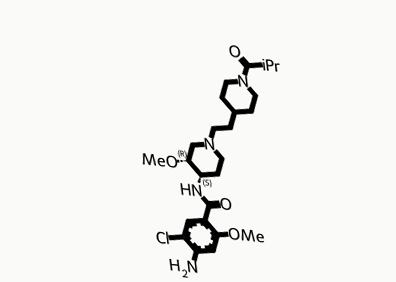 COc1cc(N)c(Cl)cc1C(=O)N[C@H]1CCN(CCC2CCN(C(=O)C(C)C)CC2)C[C@H]1OC